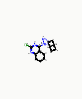 NNc1nc(Cl)nc2ccccc12.c1cc2ccc1-2